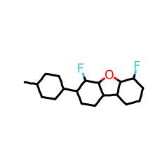 CC1CCC(C2CCC3C4CCCC(F)C4OC3C2F)CC1